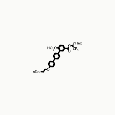 CCCCCCCCCCCCOc1ccc(-c2ccc(-c3cc(C(=O)OC(CCCCCC)C(F)(F)F)ccc3C(=O)O)cc2)cc1